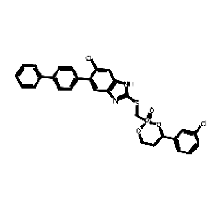 O=P1(CSc2nc3cc(-c4ccc(-c5ccccc5)cc4)c(Cl)cc3[nH]2)OCCC(c2cccc(Cl)c2)O1